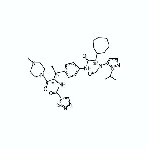 CC(C)n1nccc1N(C=O)[C@H](C(=O)Nc1ccc([C@H](C)[C@@H](NC(=O)c2cnns2)C(=O)N2CCN(C)CC2)cc1)C1CCCCCC1